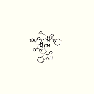 CC(C)(C)C[C@H](NC(=O)[C@H](CC1CC1)NC(=O)N1CCCCC1)C(=O)N1C[C@]2(C[C@H]1C#N)C(=O)Nc1ccccc12